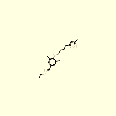 CCON=Cc1cc(C)c(OCCCCc2cc(C)no2)c(C)c1